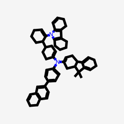 CC1(C)C2=CCCC=C2C2CC=C(N(C3=CCC(C4CCCC=C4n4c5c(c6c4CCCC6)CCC=C5)CC3)c3ccc(-c4ccc5c(c4)C=CCC5)cc3)CC21